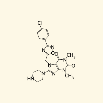 Cn1c(=O)c2c(nc(N3CCNCC3)n2Cc2nc(-c3ccc(Cl)cc3)no2)n(C)c1=O